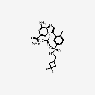 CNC(=O)C1=C[N+]2(OC(=O)C(F)(F)F)C(c3cc(S(=O)(=O)NCC4CC(F)(F)C4)ccc3C)=CN=C2C(N)=N1